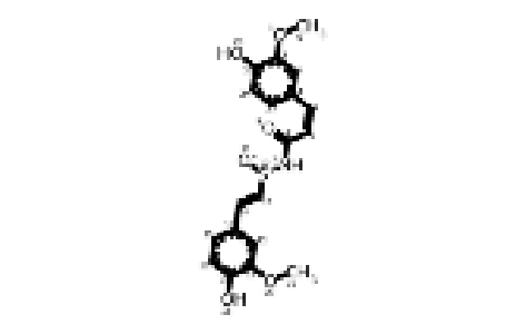 COc1cc(/C=C\C(=O)N[S+]([O-])/C=C/c2ccc(O)c(OC)c2)ccc1O